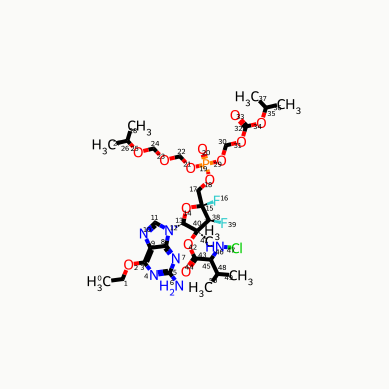 CCOc1nc(N)nc2c1ncn2[C@@H]1O[C@](F)(COP(=O)(OCOCOC(C)C)OCOC(=O)OC(C)C)[C@@H](F)[C@@]1(C)OC(=O)C(NCl)C(C)C